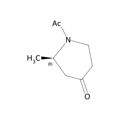 CC(=O)N1CCC(=O)C[C@H]1C